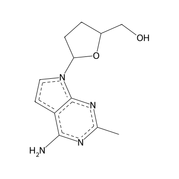 Cc1nc(N)c2ccn(C3CCC(CO)O3)c2n1